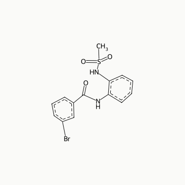 CS(=O)(=O)Nc1ccccc1NC(=O)c1cccc(Br)c1